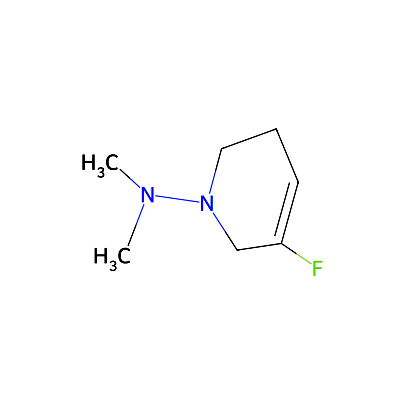 CN(C)N1CCC=C(F)C1